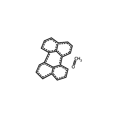 C=O.c1cc2cccc3c4cccc5cccc(c(c1)c23)c54